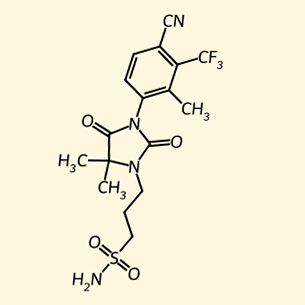 Cc1c(N2C(=O)N(CCCS(N)(=O)=O)C(C)(C)C2=O)ccc(C#N)c1C(F)(F)F